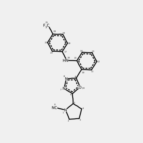 N#CN1CCCC1c1nnc(-c2ccccc2Nc2ccc(C(F)(F)F)cc2)o1